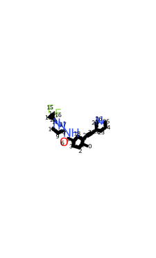 Cc1ccc(C(=O)Nc2ccn(C3CC3(F)F)n2)cc1C#Cc1cccnc1